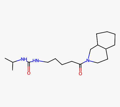 CC(C)NC(=O)NCCCCC(=O)N1CCC2CCCCC2C1